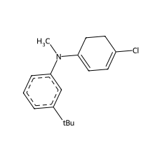 CN(C1=CC=C(Cl)CC1)c1cccc(C(C)(C)C)c1